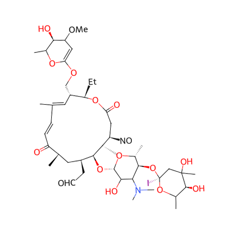 CC[C@H]1OC(=O)C[C@@H](N=O)[C@H](C)[C@@H](O[C@@H]2O[C@H](C)[C@@H](O[C@@]3(I)CC(C)(O)[C@@H](O)C(C)O3)C(N(C)C)C2O)[C@@H](CC=O)C[C@@H](C)C(=O)/C=C/C(C)=C/[C@@H]1COC1=CC(OC)[C@H](O)C(C)O1